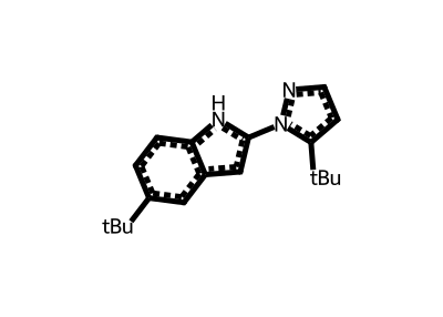 CC(C)(C)c1ccc2[nH]c(-n3nccc3C(C)(C)C)cc2c1